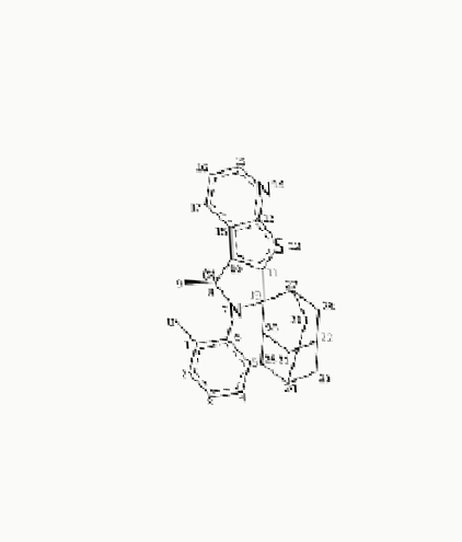 Cc1ccccc1N1[C@@H](C)c2c(sc3ncccc23)C12C1CC3CC(C1)CC2C3